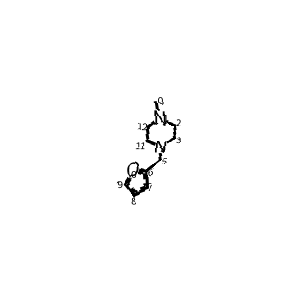 CN1CCN(Cc2ccco2)CC1